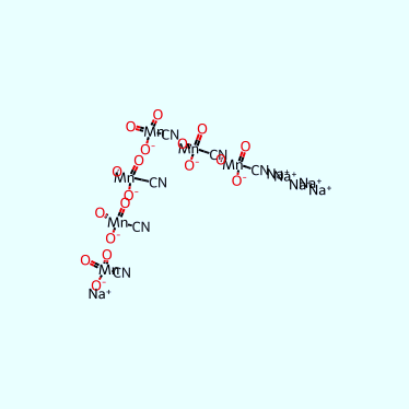 N#[C][Mn](=[O])(=[O])[O-].N#[C][Mn](=[O])(=[O])[O-].N#[C][Mn](=[O])(=[O])[O-].N#[C][Mn](=[O])(=[O])[O-].N#[C][Mn](=[O])(=[O])[O-].N#[C][Mn](=[O])(=[O])[O-].[Na+].[Na+].[Na+].[Na+].[Na+].[Na+]